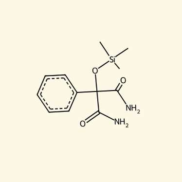 C[Si](C)(C)OC(C(N)=O)(C(N)=O)c1ccccc1